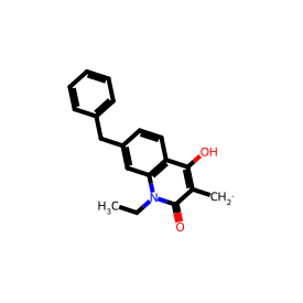 [CH2]c1c(O)c2ccc(Cc3ccccc3)cc2n(CC)c1=O